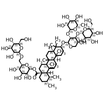 C[C@H]1[C@H](C)CC[C@]2(C(=O)O[C@@H]3O[C@H](CO[C@@H]4O[C@H](CO)[C@@H](O)[C@H](O)[C@H]4O)[C@@H](O)[C@H](O)[C@H]3O)CC[C@]3(C)C(=CC[C@@H]4[C@@]5(C)CC[C@H](O[C@@H]6OC[C@H](O)[C@H](O[C@@H]7O[C@H](CO)[C@@H](O)[C@H](O)[C@H]7O)[C@H]6O[C@@H]6O[C@@H](C)[C@H](O)[C@@H](O)[C@H]6O)C(C)(C)[C@@H]5CC[C@]43C)[C@H]12